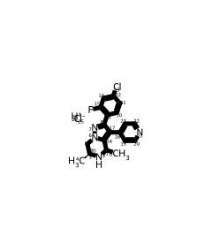 CC1N[C@H](C)Cn2nc(-c3ccc(Cl)cc3F)c(-c3ccncc3)c21.[Cl-].[H+]